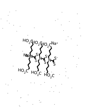 O=C(O)CCCCN(CCCCC(=O)O)C(=S)[S-].O=C(O)CCCCN(CCCCC(=O)O)C(=S)[S-].O=C(O)CCCCN(CCCCC(=O)O)C(=S)[S-].[Na+].[Na+].[Na+]